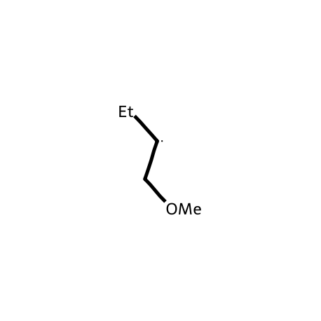 CC[CH]COC